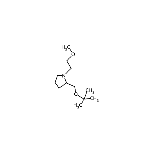 COCCN1CCCC1COC(C)(C)C